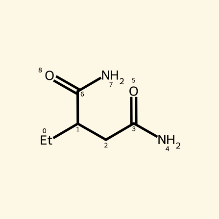 CCC(CC(N)=O)C(N)=O